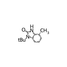 Cc1cccc2c1[nH]c(=O)n2C(C)(C)C